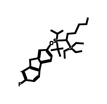 CCCCCC([Si](CC)(CC)CC)[Si](Oc1ccc2c(c1)Cc1[c]c(F)ccc1-2)(C(C)C)C(C)(C)C